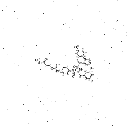 COC(=O)CCOC(=O)Nc1ccc(NC(=O)[C@H](Cc2cc(F)cc(F)c2)NC(=O)C=Cc2cc(Cl)ccc2-n2cnnn2)cc1